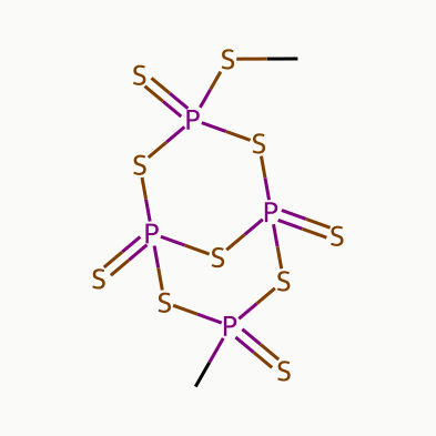 CSP1(=S)SP2(=S)SP(C)(=S)SP(=S)(S1)S2